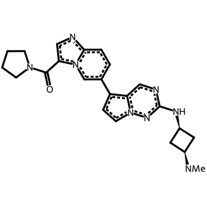 CN[C@H]1C[C@@H](Nc2ncc3c(-c4ccc5ncc(C(=O)N6CCCC6)n5c4)ccn3n2)C1